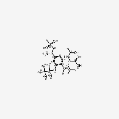 CC(=O)N[C@@H](CC(C)C)C(=O)O.[2H]C([2H])([2H])C([2H])([2H])Oc1cc([C@H](N)CS(C)(=O)=O)ccc1OC